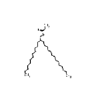 C=CC(=O)OCC(CCCCCCCCCCCC)CCCCCCCCCCCCCC